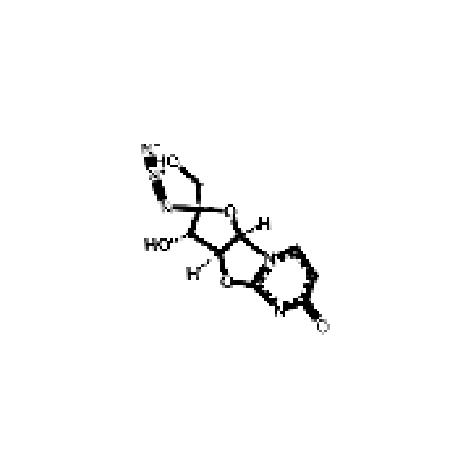 [N-]=[N+]=N[C@]1(CO)O[C@@H]2[C@@H](Oc3nc(=O)ccn32)[C@@H]1O